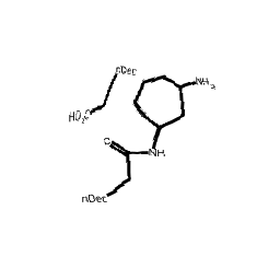 CCCCCCCCCCCC(=O)NC1CCCC(N)C1.CCCCCCCCCCCC(=O)O